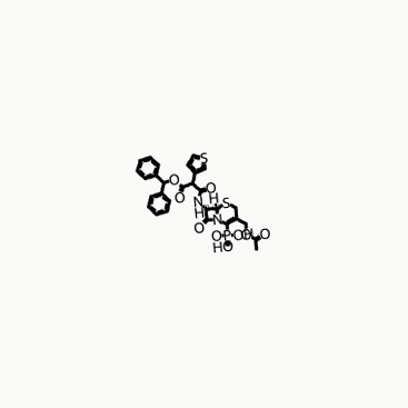 CC(=O)OCC1=C(P(=O)(O)O)N2C(=O)[C@@H](NC(=O)C(C(=O)OC(c3ccccc3)c3ccccc3)c3ccsc3)[C@@H]2SC1